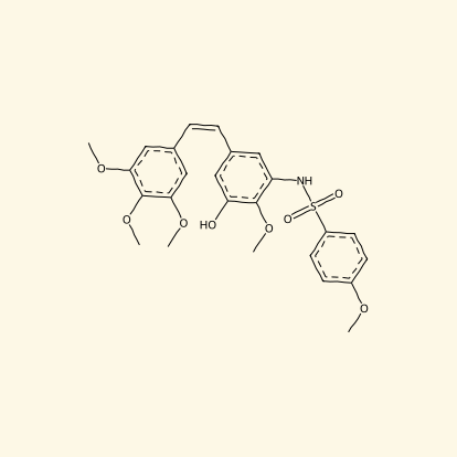 COc1ccc(S(=O)(=O)Nc2cc(/C=C\c3cc(OC)c(OC)c(OC)c3)cc(O)c2OC)cc1